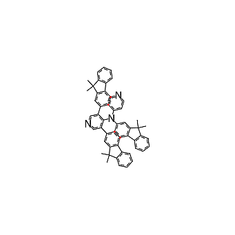 CC1(C)c2ccccc2-c2ccc(-c3cncc(-c4ccc5c(c4)C(C)(C)c4ccccc4-5)c3N(c3ccncc3)c3ccc4c(c3)C(C)(C)c3ccccc3-4)cc21